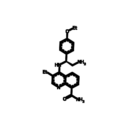 CCOc1ccc([C@@H](CN)Nc2c(CC)cnc3c(C(N)=O)cccc23)cc1